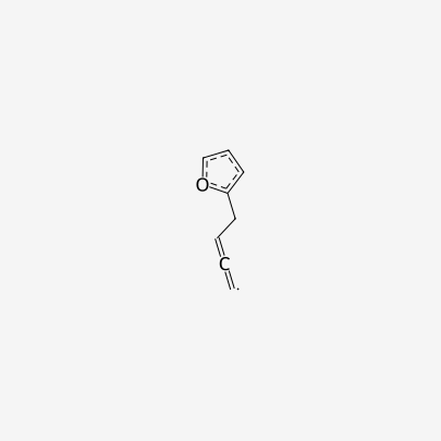 [CH]=C=CCc1ccco1